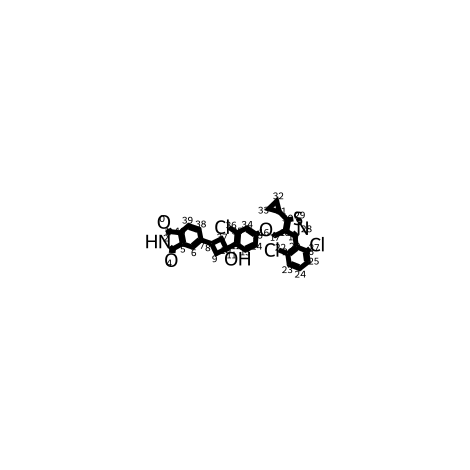 O=C1NC(=O)c2cc(C3CC(O)(c4ccc(OCc5c(-c6c(Cl)cccc6Cl)nsc5C5CC5)cc4Cl)C3)ccc21